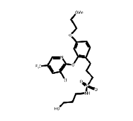 COCCOc1ccc(CCCS(=O)(=O)NCCCO)c(Oc2ncc(C(F)(F)F)cc2Cl)c1